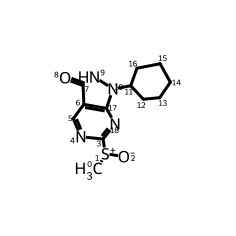 C[S+]([O-])c1ncc2c(=O)[nH]n(C3CCCCC3)c2n1